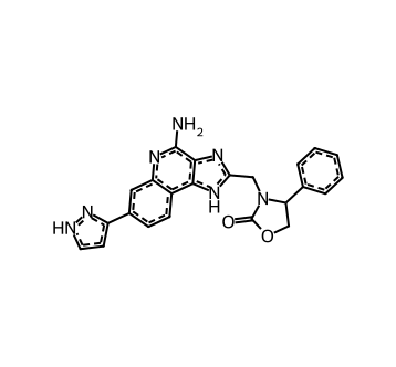 Nc1nc2cc(-c3cc[nH]n3)ccc2c2[nH]c(CN3C(=O)OCC3c3ccccc3)nc12